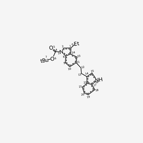 CCc1cn(C(=O)OC(C)(C)C)c2ccc(CCc3c[nH]c4ccccc34)cc12